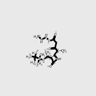 BNPOC(=O)CC(=O)[C@H](C)C1NC(=O)[C@@H]1[C@@H](C)O[Si](C)(C)C(C)(C)C